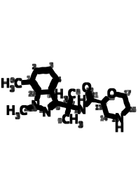 Cc1cccc2c(C(C)(C)NC(=O)[C@@H]3CNCCO3)nn(C)c12